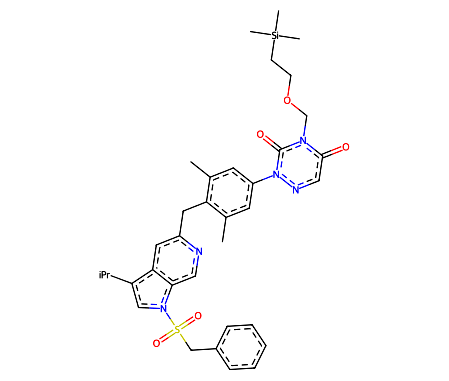 Cc1cc(-n2ncc(=O)n(COCC[Si](C)(C)C)c2=O)cc(C)c1Cc1cc2c(C(C)C)cn(S(=O)(=O)Cc3ccccc3)c2cn1